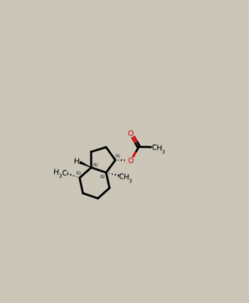 CC(=O)O[C@H]1CC[C@H]2[C@@H](C)CCC[C@]12C